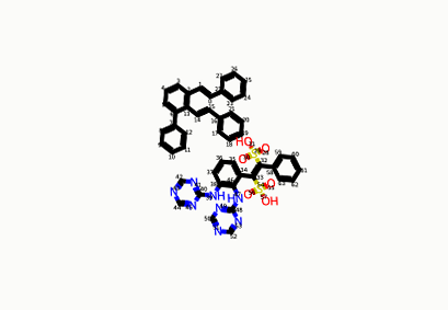 C(=Cc1cccc(-c2ccccc2)c1C=Cc1ccccc1)c1ccccc1.O=S(=O)(O)C(=C(c1cccc(Nc2ncncn2)c1Nc1ncncn1)S(=O)(=O)O)c1ccccc1